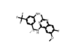 COc1cc2c(N[C@H](C)c3cc(N)cc(C(F)(F)F)c3)nc(C)nc2cc1F